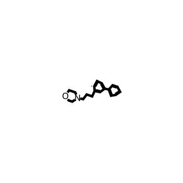 [c]1ccc(-c2ccccc2)cc1CCCN1CCOCC1